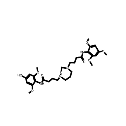 COc1cc(OC)c(NC(=O)CCCN2CCCN(CCCC(=O)Nc3c(OC)cc(O)cc3OC)CC2)c(OC)c1